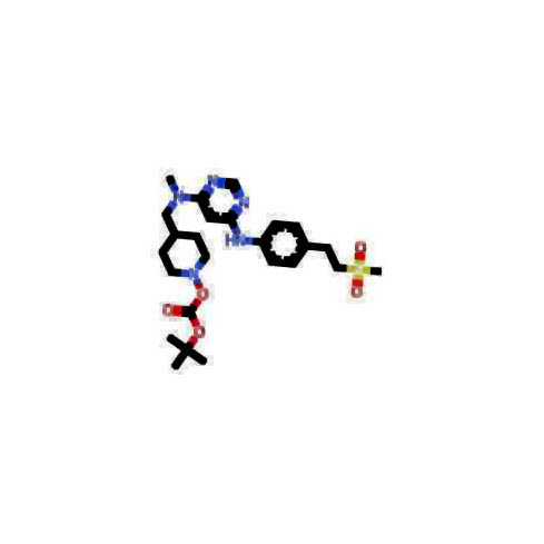 CN(CC1CCN(OC(=O)OC(C)(C)C)CC1)c1cc(Nc2ccc(CCS(C)(=O)=O)cc2)ncn1